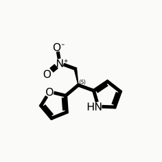 O=[N+]([O-])C[C@@H](c1ccc[nH]1)c1ccco1